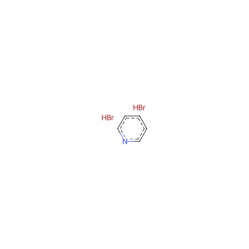 Br.Br.c1ccncc1